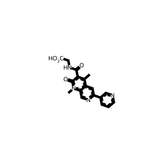 Cc1c(C(=O)NCC(=O)O)c(=O)n(C)c2cnc(-c3cccnc3)cc12